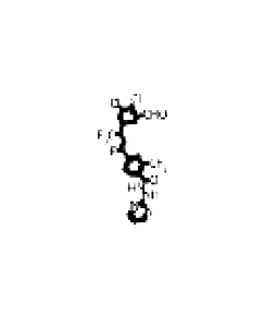 O=Cc1cc(C(/C=C(\F)c2ccc(C(=O)NNc3ncccn3)c(C(F)(F)F)c2)C(F)(F)F)cc(Cl)c1Cl